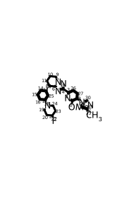 COc1nc(-c2nc3n(n2)CCC[C@H]3c2cccc(N3CCC(F)CC3)c2)ccc1-n1cnc(C)c1